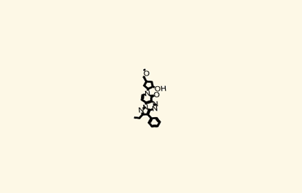 CCc1nn2c(nnc3c(=O)n(C4CC(COC)CC4O)ccc32)c1-c1ccccc1